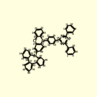 c1ccc(-c2nc(-c3ccccc3)nc(-c3ccc(N4c5ccccc5Oc5cc(N6c7ccccc7-c7ccccc7-c7ccccc76)ccc54)cc3)n2)cc1